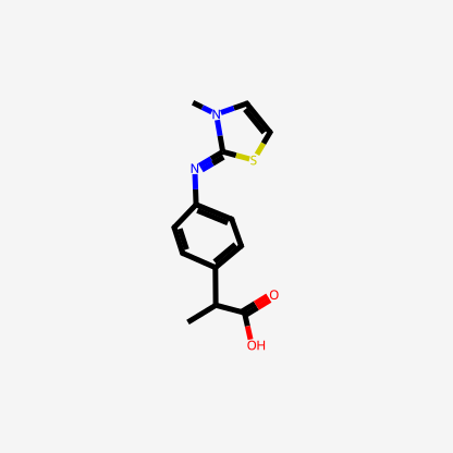 CC(C(=O)O)c1ccc(/N=c2\sccn2C)cc1